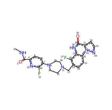 CNC(=O)c1ccc(N2CCN(Cc3ccc4c([nH]c(=O)c5ccnn54)c3F)CC2)c(F)n1